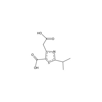 CC(C)c1nc(CC(=O)O)c(C(=O)O)s1